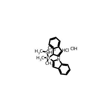 C[SiH](C)[Zr]([CH3])([CH3])([c]1cc2ccccc2[nH]1)[CH]1C=Cc2ccccc21.Cl.Cl